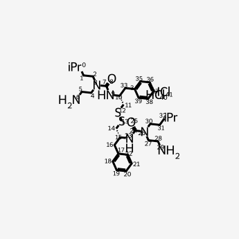 CC(C)CCN(CCN)C(=O)N[C@@H](CSSC[C@@H](Cc1ccccc1)NC(=O)N(CCN)CCC(C)C)Cc1ccccc1.Cl.Cl